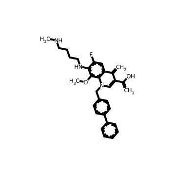 C=C(O)C1=CN(Cc2ccc(-c3ccccc3)cc2)c2c(cc(F)c(NCCCCNC)c2OC)C1=C